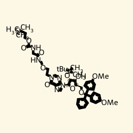 COc1ccc(C(OC[C@H]2O[C@@H](n3cnc4c(=O)n(CCOCNC(=O)CNC(=O)OCC[Si](C)(C)C)cnc43)[C@H](O[Si](C)(C)C(C)(C)C)[C@@H]2O)(c2ccccc2)c2ccc(OC)cc2)cc1